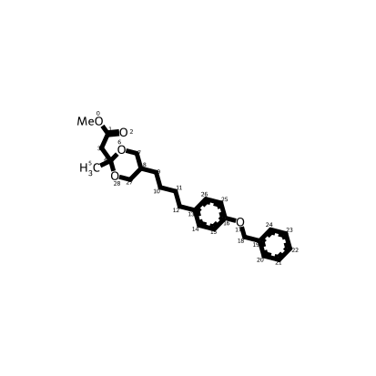 COC(=O)CC1(C)OCC(CCCCc2ccc(OCc3ccccc3)cc2)CO1